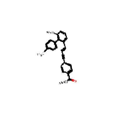 COC(=O)c1ccc(C#C/C=C/c2cccc(OC)c2-c2ccc(C)cc2)cc1